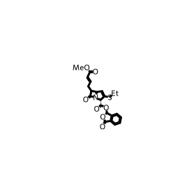 CCSC1=CC2C(CC=CC(=O)OC)C(=O)N2[C@H]1C(=O)OC1OC(=O)c2ccccc21